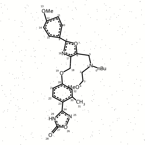 CCCCN(CCOC)Cc1oc(-c2ccc(OC)cc2)nc1COc1ccc(-c2noc(=O)[nH]2)c(C)c1